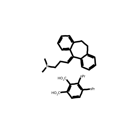 CCCc1ccc(C(=O)O)c(C(=O)O)c1CCC.CN(C)CCC=C1c2ccccc2CCc2ccccc21